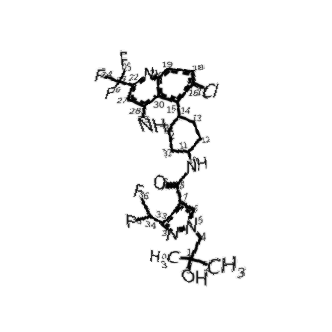 CC(C)(O)Cn1cc(C(=O)NC2CCC(c3c(Cl)ccc4nc(C(F)(F)F)cc(N)c34)CC2)c(C(F)F)n1